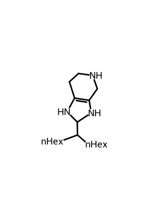 CCCCCCC(CCCCCC)C1NC2=C(CNCC2)N1